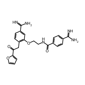 N=C(N)c1ccc(C(=O)NCCOc2cc(C(=N)N)ccc2CC(=O)c2ccco2)cc1